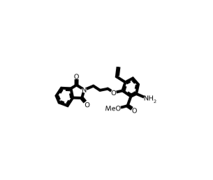 C=Cc1ccc(N)c(C(=O)OC)c1OCCCN1C(=O)c2ccccc2C1=O